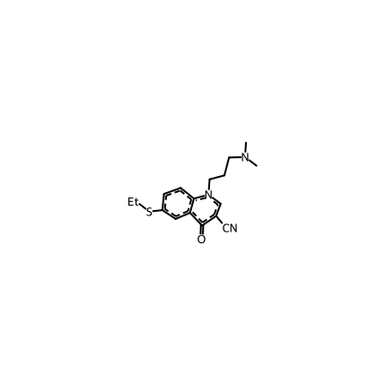 CCSc1ccc2c(c1)c(=O)c(C#N)cn2CCCN(C)C